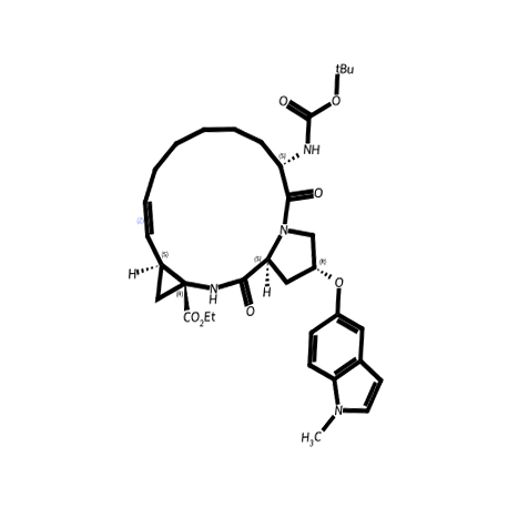 CCOC(=O)[C@@]12C[C@H]1/C=C\CCCCC[C@H](NC(=O)OC(C)(C)C)C(=O)N1C[C@H](Oc3ccc4c(ccn4C)c3)C[C@H]1C(=O)N2